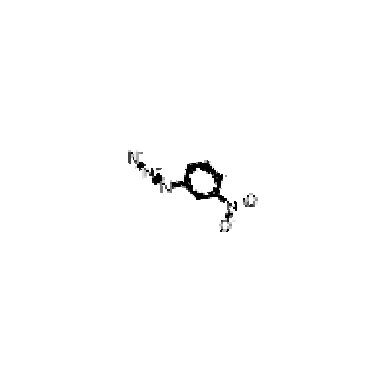 [N-]=[N+]=Nc1cc[c]c([N+](=O)[O-])c1